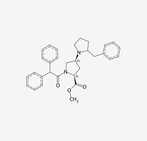 COC(=O)[C@@H]1C[C@H](N2CCCC2Cc2ccccc2)CN1C(=O)C(c1ccccc1)c1ccccc1